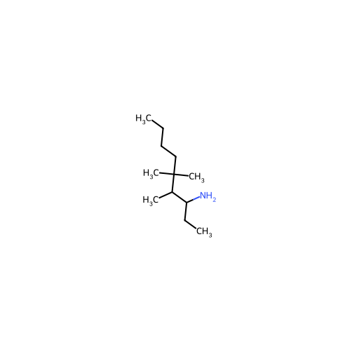 CCCCC(C)(C)C(C)C(N)CC